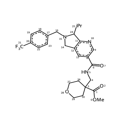 COC(=O)C1(CNC(=O)c2cnc3c(c2)CN(Cc2ccc(C(F)(F)F)cc2)C3C(C)C)CCOCC1